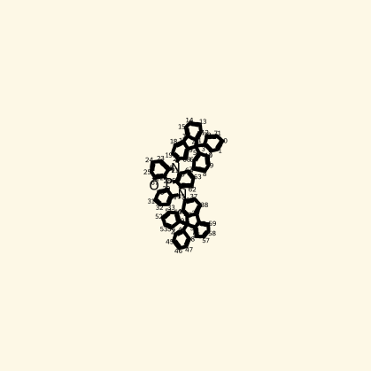 c1ccc(C2(c3ccccc3)c3ccccc3-c3ccc(N4c5cccc6c5P5c7c(cccc7N(c7ccc8c(c7)C(c7ccccc7)(c7ccccc7)c7ccccc7-8)c7cccc4c75)O6)cc32)cc1